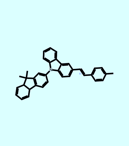 Cc1ccc(/C=C/c2ccc3c(c2)c2ccccc2n3-c2ccc3c(c2)C(C)(C)C2C=CC=CC32)cc1